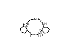 C1CC[C@H]2NCCNCCNC3CCCC[C@H]3NCCNC2C1